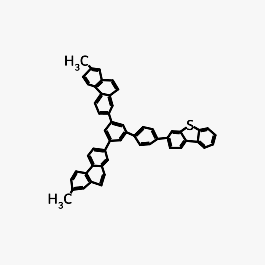 Cc1ccc2c(ccc3cc(-c4cc(-c5ccc(-c6ccc7c(c6)sc6ccccc67)cc5)cc(-c5ccc6c(ccc7cc(C)ccc76)c5)c4)ccc32)c1